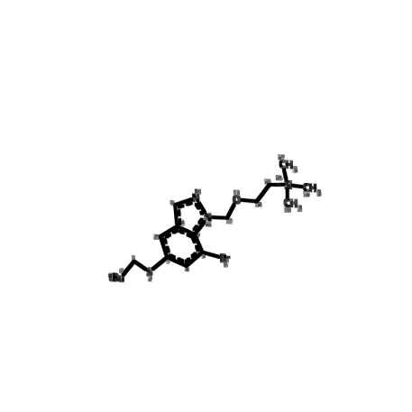 CC(C)(C)CSc1cc(Br)c2c(cnn2COCC[Si](C)(C)C)c1